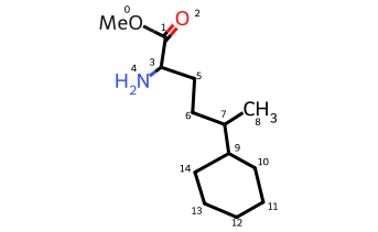 COC(=O)C(N)CCC(C)C1CCCCC1